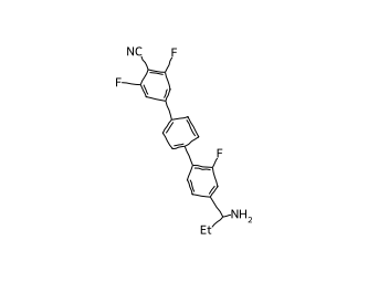 CCC(N)c1ccc(-c2ccc(-c3cc(F)c(C#N)c(F)c3)cc2)c(F)c1